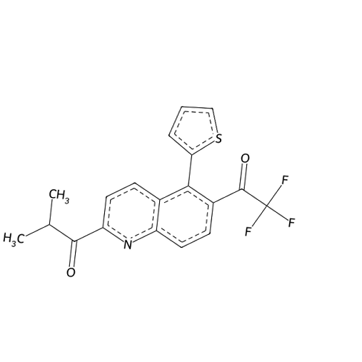 CC(C)C(=O)c1ccc2c(-c3cccs3)c(C(=O)C(F)(F)F)ccc2n1